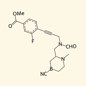 COC(=O)c1ccc(C#CCN(C=O)CC2CB(C#N)CCN2C)c(F)c1